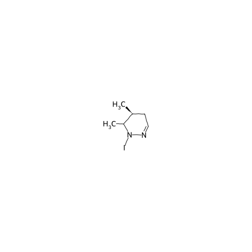 CC1[C@@H](C)CC=NN1I